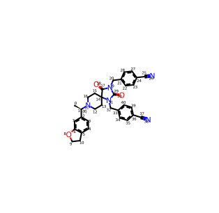 C[C@H](c1ccc2c(c1)OCC2)N1CCC2(CC1)C(=O)N(Cc1ccc(C#N)cc1)C(=O)N2Cc1ccc(C#N)cc1